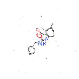 Cc1ccc2nc(NCc3ccccc3)oc(=O)c2c1C